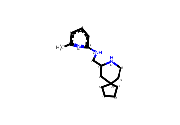 Cc1cccc(NCC2CC3(CCCC3)CCN2)n1